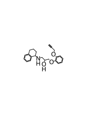 C#CCOc1ccccc1OCC(O)CNC1CCCc2ccccc21